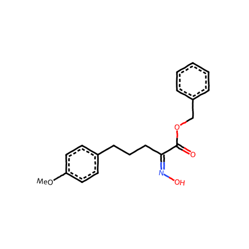 COc1ccc(CCCC(=NO)C(=O)OCc2ccccc2)cc1